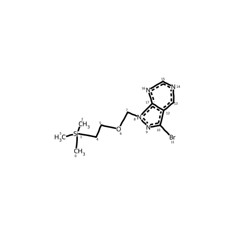 C[Si](C)(C)CCOCn1nc(Br)c2cncnc21